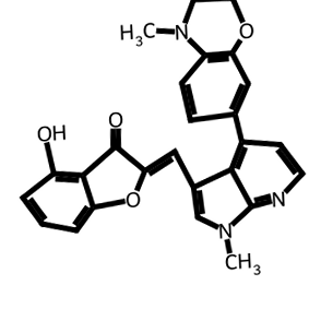 CN1CCOc2cc(-c3ccnc4c3c(/C=C3\Oc5cccc(O)c5C3=O)cn4C)ccc21